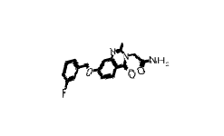 Cc1nc2cc(OCc3cccc(F)c3)ccc2c(=O)n1CC(N)=O